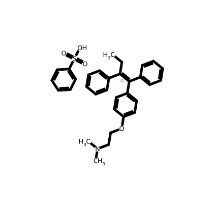 CC/C(=C(\c1ccccc1)c1ccc(OCCN(C)C)cc1)c1ccccc1.O=S(=O)(O)c1ccccc1